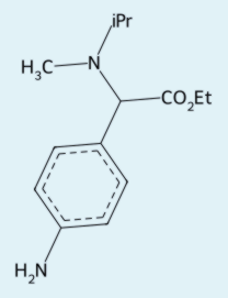 CCOC(=O)C(c1ccc(N)cc1)N(C)C(C)C